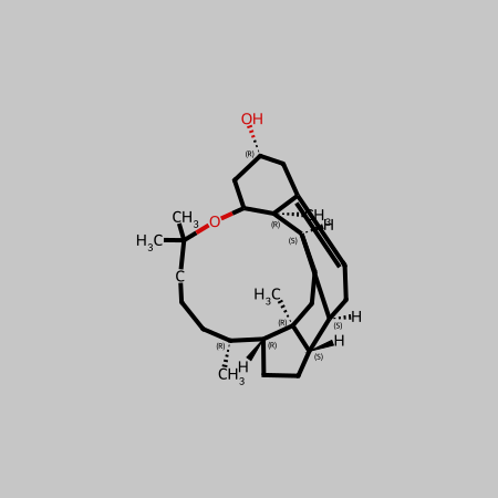 C[C@@H]1CCCC(C)(C)OC2C[C@H](O)CC3=CC[C@H]4[C@@H]5CC[C@H]1[C@@]5(C)CC[C@@H]4[C@]32C